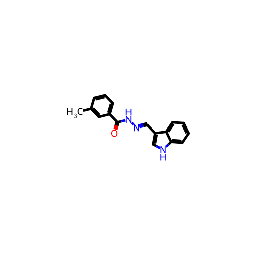 Cc1cccc(C(=O)N/N=C/c2c[nH]c3ccccc23)c1